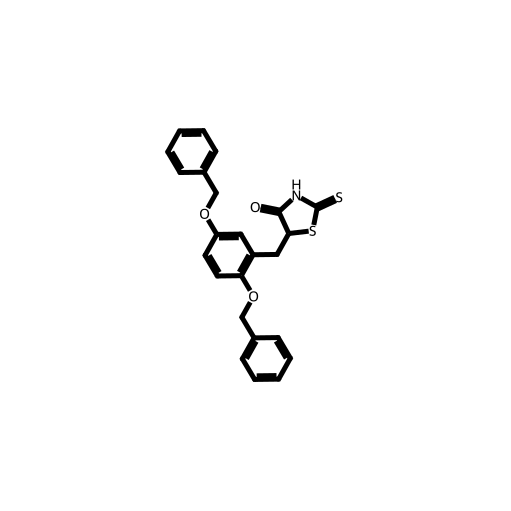 O=C1NC(=S)SC1Cc1cc(OCc2ccccc2)ccc1OCc1ccccc1